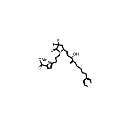 C=C(CCCCCC(/C=C\C)=C/C)[C@H](O)/C=C/C1CC(F)(F)C(=O)N1CCCc1ccc(C(=O)OC)s1